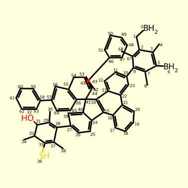 BCc1c(C)c(B)c(C)c(-c2ccc3c4c(c5ccccc5c3c2)-c2ccc(C3=C(C)C(O)C(C)C(S)=C3C)cc2C42c3ccc(-c4ccccc4)cc3Cc3cc(-c4ccccc4)ccc32)c1C